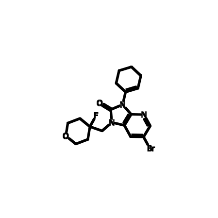 O=c1n(CC2(F)CCOCC2)c2cc(Br)cnc2n1C1=CCCCC1